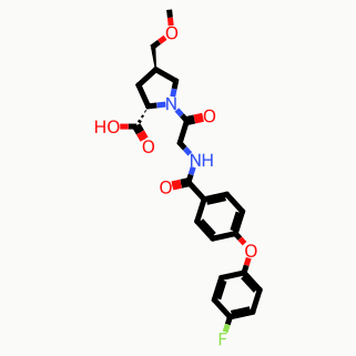 COC[C@@H]1C[C@@H](C(=O)O)N(C(=O)CNC(=O)c2ccc(Oc3ccc(F)cc3)cc2)C1